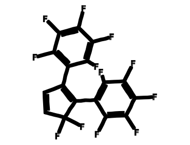 Fc1c(F)c(F)c(C2=C(c3c(F)c(F)c(F)c(F)c3F)C(F)(F)C=C2)c(F)c1F